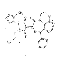 Cc1nocc1[C@@H]1C(=O)N([C@@H]2N=C(c3ccccc3)c3cccc4c3N(CCN4)C2=O)C(=O)[C@@H]1CCC(F)(F)F